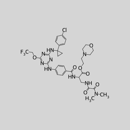 CN(C)C(=O)C(=O)NCC(NC(=O)c1ccc(Nc2nc(NC3(c4ccc(Cl)cc4)CC3)nc(OCC(F)(F)F)n2)cc1)C(=O)OCCN1CCOCC1